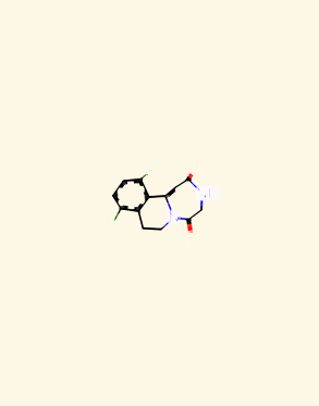 O=C1C=C2c3c(F)ccc(Br)c3CCN2C(=O)CN1